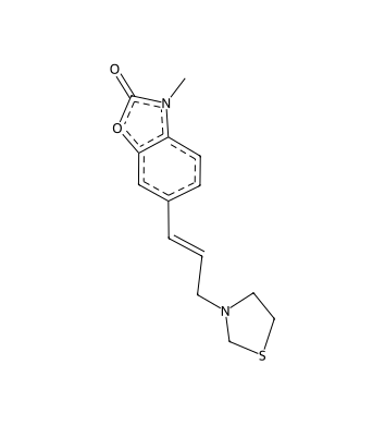 Cn1c(=O)oc2cc(/C=C/CN3CCSC3)ccc21